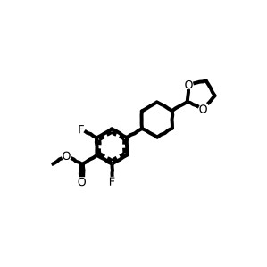 COC(=O)c1c(F)cc(C2CCC(C3OCCO3)CC2)cc1F